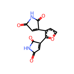 O=C1C=C(c2ccoc2C2=CC(=O)NC2=O)C(=O)N1